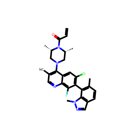 C=CC(=O)N1[C@H](C)CN(c2c(C#N)cnc3c(F)c(-c4c(C)ccc5cnn(C)c45)c(Cl)cc23)C[C@@H]1C